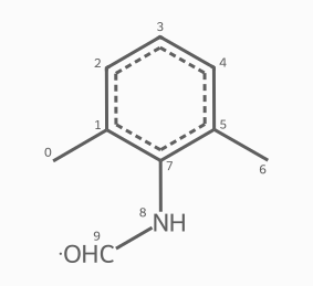 Cc1cccc(C)c1N[C]=O